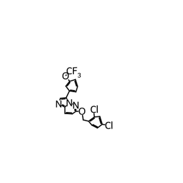 FC(F)(F)Oc1cccc(-c2cnc3ccc(OCc4ccc(Cl)cc4Cl)nn23)c1